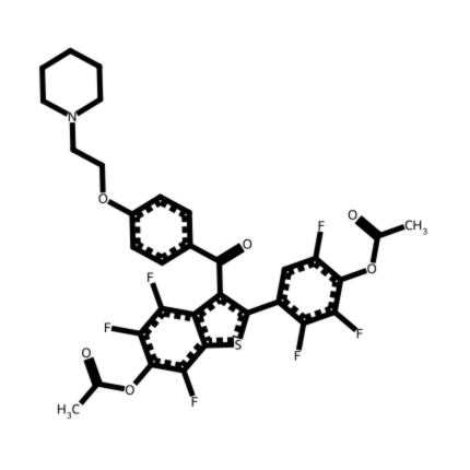 CC(=O)Oc1c(F)cc(-c2sc3c(F)c(OC(C)=O)c(F)c(F)c3c2C(=O)c2ccc(OCCN3CCCCC3)cc2)c(F)c1F